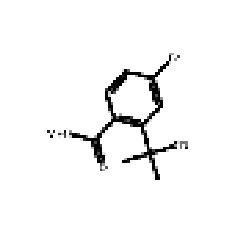 COC(=O)c1ccc(Br)cc1C(C)(C)C#N